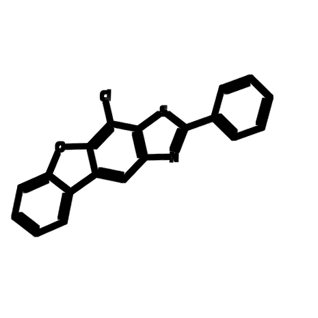 Clc1c2oc3ccccc3c2cc2nc(-c3ccccc3)sc12